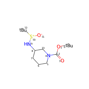 CC(C)(C)OC(=O)N1CCCC(N[S+]([O-])C(C)(C)C)C1